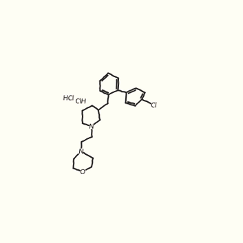 Cl.Cl.Clc1ccc(-c2ccccc2CC2CCCN(CCN3CCOCC3)C2)cc1